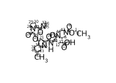 CCOC(=O)N1CCN(C(=O)[C@H](CCC(=O)O)NC(=O)c2cc(OCC(=O)N3CCC[C@H]3C(=O)N3CCC3)c3ccc(C)cc3n2)CC1